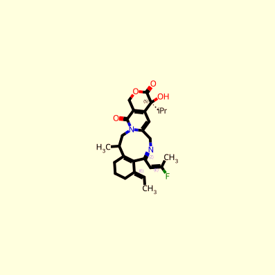 C/C=C1\CCCC2=C1C(/C=C(\C)F)=N\Cc1cc3c(c(=O)n1CC2C)COC(=O)[C@]3(O)C(C)C